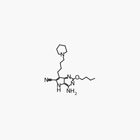 CCCCOc1nc(N)c2[nH]c(C#N)c(CCCCN3CCCCC3)c2n1